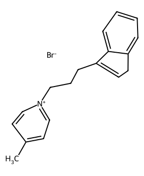 Cc1cc[n+](CCCC2=CCc3ccccc32)cc1.[Br-]